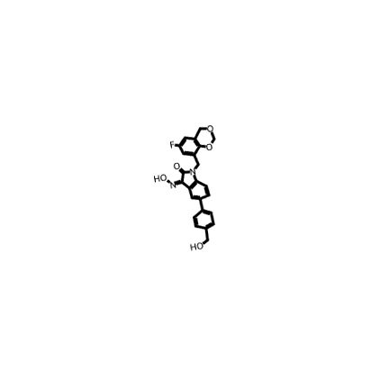 O=C1/C(=N\O)c2cc(-c3ccc(CO)cc3)ccc2N1Cc1cc(F)cc2c1OCOC2